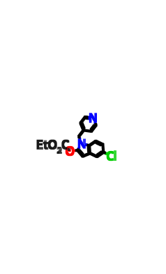 CCOC(=O)Oc1cc2cc(Cl)ccc2n1Cc1ccncc1